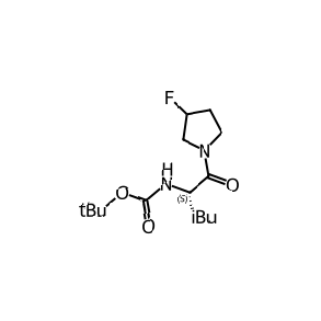 CCC(C)[C@H](NC(=O)OC(C)(C)C)C(=O)N1CCC(F)C1